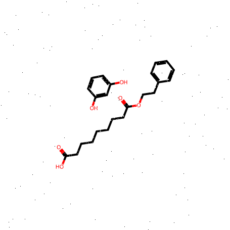 O=C(O)CCCCCCCC(=O)OCCc1ccccc1.Oc1cccc(O)c1